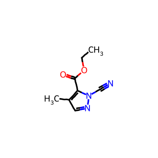 CCOC(=O)c1c(C)cnn1C#N